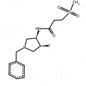 CS(=O)(=O)CCC(=O)N[C@@H]1CN(Cc2ccccc2)C[C@@H]1F